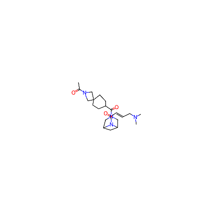 CC(=O)N1CC2(CCC(C(=O)N3CC4CC(C3)N4C(=O)/C=C/CN(C)C)CC2)C1